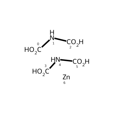 O=C(O)NC(=O)O.O=C(O)NC(=O)O.[Zn]